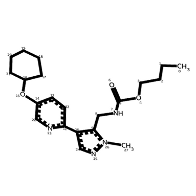 CCCCOC(=O)NCc1c(-c2ccc(OC3CCCCC3)cn2)cnn1C